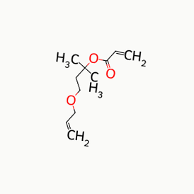 C=CCOCCC(C)(C)OC(=O)C=C